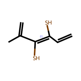 C=C/C(S)=C(\S)C(=C)C